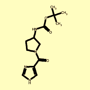 CC(C)(C)OC(=O)NC1CCN(C(=O)c2c[nH]cn2)C1